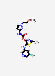 COCCn1ccc(NC(=O)Oc2nc(C)sc2Nc2cncc(F)c2)n1